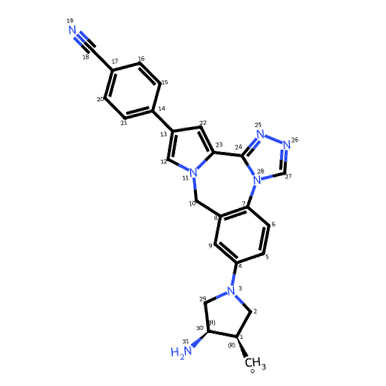 C[C@@H]1CN(c2ccc3c(c2)Cn2cc(-c4ccc(C#N)cc4)cc2-c2nncn2-3)C[C@@H]1N